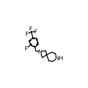 Fc1cc(C(F)(F)F)ccc1CN1CC2(CCNCC2)C1